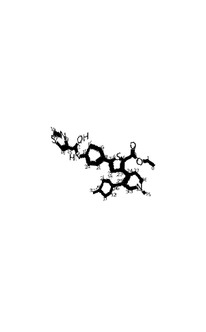 CCOC(=O)c1sc(-c2ccc(NC(O)c3cscn3)cc2)cc1C1=C(C2CCC(C)CC2)CN(C)CC1